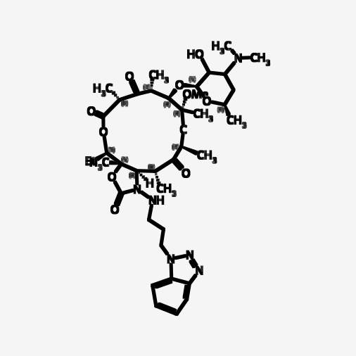 CC[C@H]1OC(=O)[C@H](C)C(=O)[C@H](C)[C@@H](O[C@@H]2O[C@H](C)CC(N(C)C)C2O)[C@](C)(OC)C[C@@H](C)C(=O)[C@H](C)[C@H]2N(NCCCn3nnc4ccccc43)C(=O)O[C@]12C